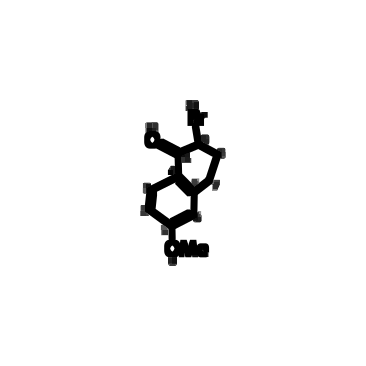 COc1ccc2c(c1)CCC(Br)C2=O